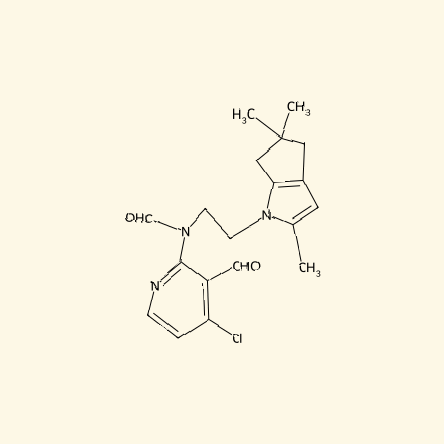 Cc1cc2c(n1CCN(C=O)c1nccc(Cl)c1C=O)CC(C)(C)C2